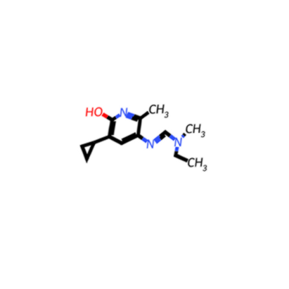 CCN(C)/C=N/c1cc(C2CC2)c(O)nc1C